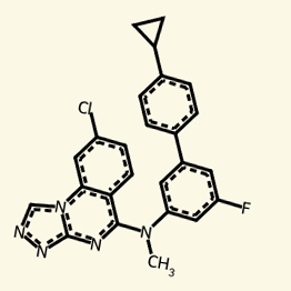 CN(c1cc(F)cc(-c2ccc(C3CC3)cc2)c1)c1nc2nncn2c2cc(Cl)ccc12